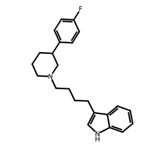 Fc1ccc(C2CCCN(CCCCc3c[nH]c4ccccc34)C2)cc1